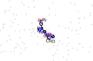 Cc1c(C=O)cc(C(=O)Nc2ccc(-c3cc(C4CCN(C(=O)C(C)C)CC4)n4ncnc(N)c34)cc2)c(=O)n1-c1ccccn1